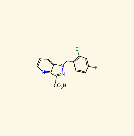 O=C(O)c1nn(Cc2ccc(F)cc2Cl)c2cccnc12